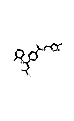 Cc1cc(CNC(=O)c2ccc(/C(=C/C(I)C(F)(F)F)Nc3ccccc3Cl)cc2)n[nH]1